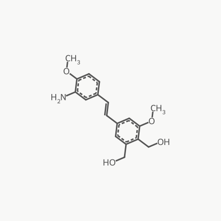 COc1ccc(C=Cc2cc(CO)c(CO)c(OC)c2)cc1N